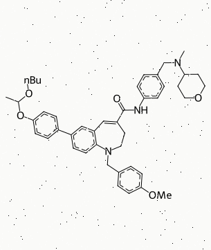 CCCCOC(C)Oc1ccc(-c2ccc3c(c2)C=C(C(=O)Nc2ccc(CN(C)C4CCOCC4)cc2)CCN3Cc2ccc(OC)cc2)cc1